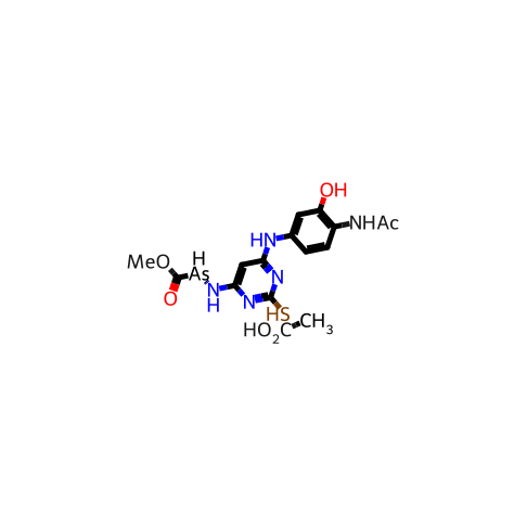 CC(=O)O.COC(=O)[AsH]Nc1cc(Nc2ccc(NC(C)=O)c(O)c2)nc(S)n1